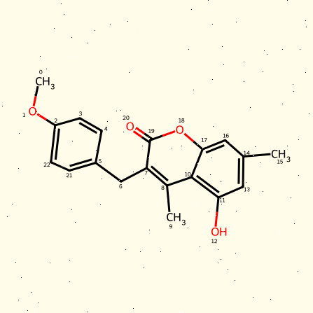 COc1ccc(Cc2c(C)c3c(O)cc(C)cc3oc2=O)cc1